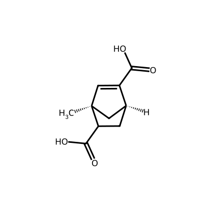 C[C@@]12C=C(C(=O)O)[C@@H](CC1C(=O)O)C2